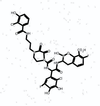 O=C(NCCCN1CCN(C(=O)NC(C(=O)NC2Cc3ccc(F)c(C(=O)O)c3OB2O)c2cc(F)c(O)c(O)c2Cl)C(=O)C1=O)c1cccc(O)c1Cl